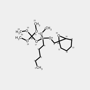 CCCCC[Si](OC)(OCC12CCCCC1O2)OC(OC)(OC)OC